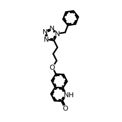 O=c1ccc2cc(OCCCc3nnnn3Cc3ccccc3)ccc2[nH]1